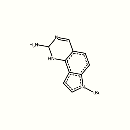 CC(C)(C)n1ccc2c3c(ccc21)C=NC(N)N3